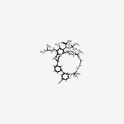 Cc1c([C@H](OC(C)(C)C)C(=O)O)c2n3cc(nc3c1CNC(C)C)-c1cccc(c1)-c1cc(F)ccc1O[C@@H](C)CCCCOC1(C)CCN2CC1